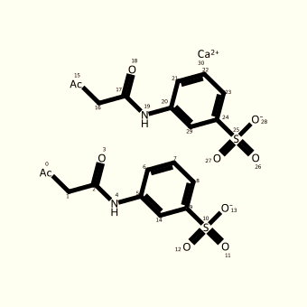 CC(=O)CC(=O)Nc1cccc(S(=O)(=O)[O-])c1.CC(=O)CC(=O)Nc1cccc(S(=O)(=O)[O-])c1.[Ca+2]